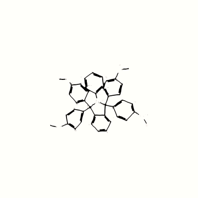 COc1ccc(C2(c3ccc(OC)cc3)c3ccccc3C(c3ccc(OC)cc3)(c3ccc(OC)cc3)N2c2ccccc2)cc1